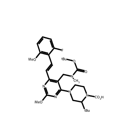 COc1nc(C=Cc2c(F)cccc2OC)c(CN(C)C(=O)OC(C)(C)C)c(N2CCN(C(=O)O)C(C(C)(C)C)C2)n1